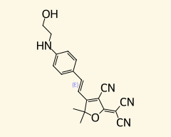 CC1(C)OC(=C(C#N)C#N)C(C#N)=C1/C=C/c1ccc(NCCO)cc1